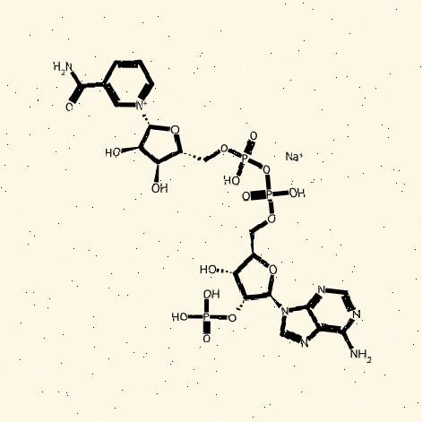 NC(=O)c1ccc[n+]([C@@H]2O[C@H](COP(=O)(O)OP(=O)(O)OC[C@H]3O[C@@H](n4cnc5c(N)ncnc54)[C@H](OP(=O)(O)O)[C@@H]3O)[C@@H](O)[C@H]2O)c1.[Na+]